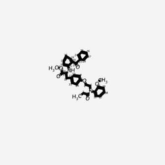 CCC(=O)N(CCOc1ccc(CC(Nc2ccccc2C(=O)c2ccccc2)C(=O)OC)cc1)c1ccccc1OC